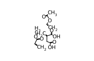 C=C(CC(=O)O)C(=O)O.C=CC(=O)OC.C=COC(C)=O